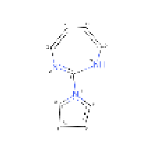 C1=CN=C(n2cccc2)NC=C1